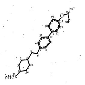 CCCCCCC1CCC(CCc2ccc(-c3ccc(OC(F)F)cc3)cc2)CC1